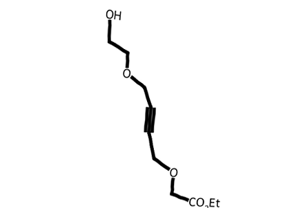 CCOC(=O)COCC#CCOCCO